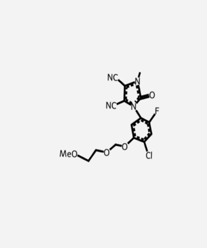 COCCOCOc1cc(-n2c(C#N)c(C#N)n(C)c2=O)c(F)cc1Cl